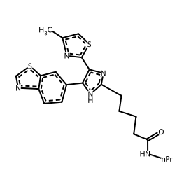 CCCNC(=O)CCCCc1nc(-c2nc(C)cs2)c(-c2ccc3ncsc3c2)[nH]1